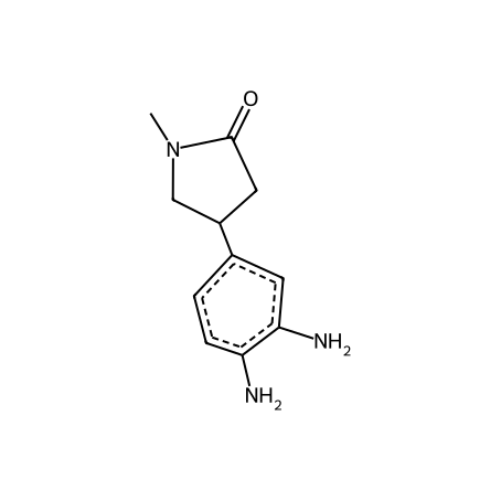 CN1CC(c2ccc(N)c(N)c2)CC1=O